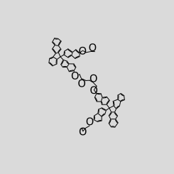 c1ccc2c(c1)-c1cc3ccccc3cc1C2(c1ccc2cc(OCC3CO3)ccc2c1)c1ccc2cc(OCC3OC3C3OC3COc3ccc4cc(C5(c6ccc7cc(OCC8CO8)ccc7c6)c6cc7ccccc7cc6-c6cc7ccccc7cc65)ccc4c3)ccc2c1